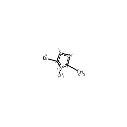 Cc1nnc(Br)n1C